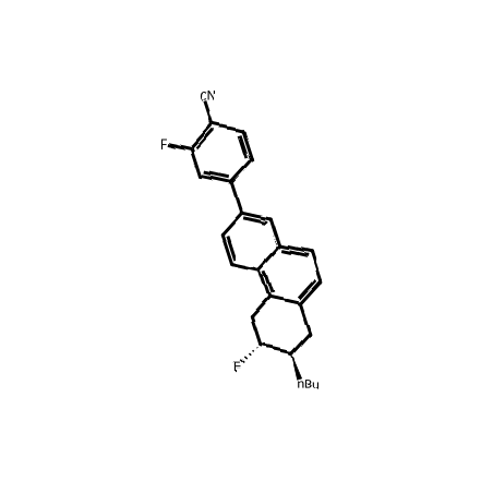 CCCC[C@@H]1Cc2ccc3cc(-c4ccc(C#N)c(F)c4)ccc3c2C[C@H]1F